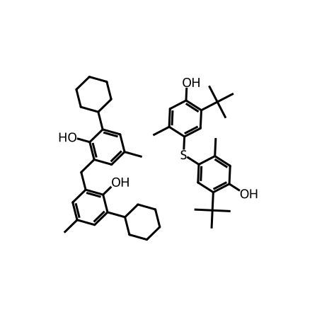 Cc1cc(Cc2cc(C)cc(C3CCCCC3)c2O)c(O)c(C2CCCCC2)c1.Cc1cc(O)c(C(C)(C)C)cc1Sc1cc(C(C)(C)C)c(O)cc1C